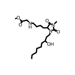 CCCCCCC(O)CCN1C(=O)N(C)C(=O)C1CCCCNCC(=O)OC